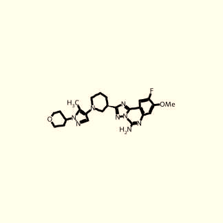 COc1cc2nc(N)n3nc([C@@H]4CCCN(c5cnn(C6CCOCC6)c5C)C4)nc3c2cc1F